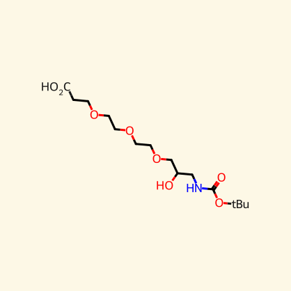 CC(C)(C)OC(=O)NCC(O)COCCOCCOCCC(=O)O